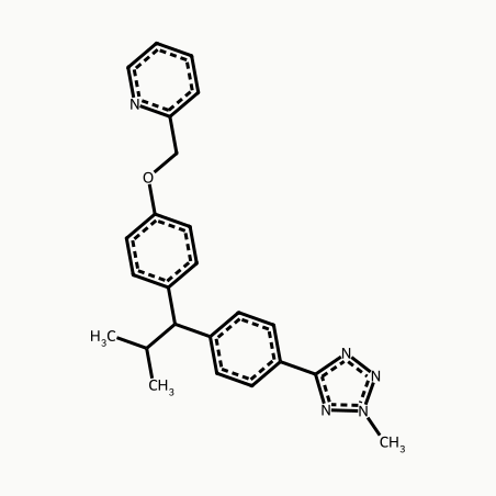 CC(C)C(c1ccc(OCc2ccccn2)cc1)c1ccc(-c2nnn(C)n2)cc1